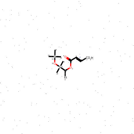 CCC(OC(=O)/C=C/C(=O)O)[Si](C)(C)O[Si](C)(C)C